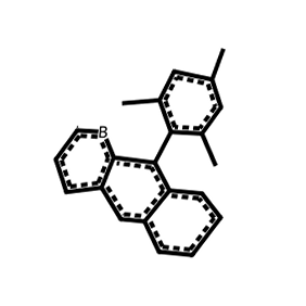 Cc1cc(C)c(-c2c3b[c]ccc3cc3ccccc23)c(C)c1